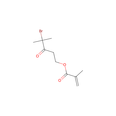 C=C(C)C(=O)OCCC(=O)C(C)(C)Br